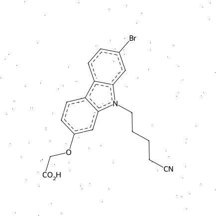 N#CCCCCn1c2cc(Br)ccc2c2ccc(OCC(=O)O)cc21